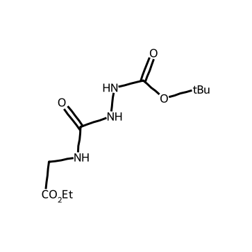 CCOC(=O)CNC(=O)NNC(=O)OC(C)(C)C